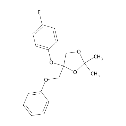 CC1(C)OCC(COc2ccccc2)(Oc2ccc(F)cc2)O1